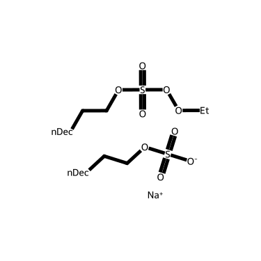 CCCCCCCCCCCCOS(=O)(=O)OOCC.CCCCCCCCCCCCOS(=O)(=O)[O-].[Na+]